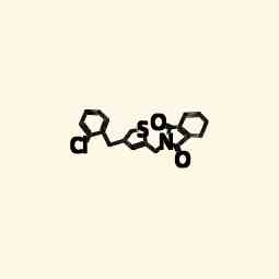 O=C1C2=C(CCC=C2)C(=O)N1CC1=CC(Cc2ccccc2Cl)CS1